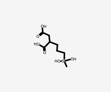 C[Si](O)(O)CCCC(CC(=O)O)C(=O)O